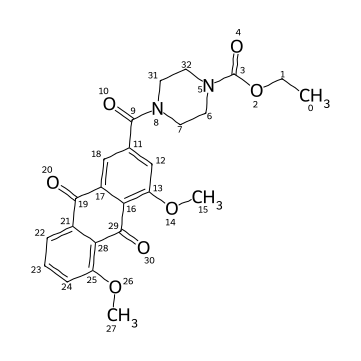 CCOC(=O)N1CCN(C(=O)c2cc(OC)c3c(c2)C(=O)c2cccc(OC)c2C3=O)CC1